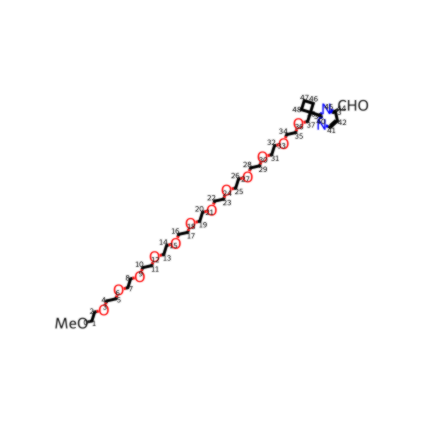 COCCOCCOCCOCCOCCOCCOCCOCCOCCOCCOCCOCCOCC1(c2nccc(C=O)n2)CCC1